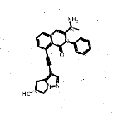 C[C@H](N)c1cc2cccc(C#Cc3cnn4c3C[C@@H](O)C4)c2c(=O)n1-c1ccccc1